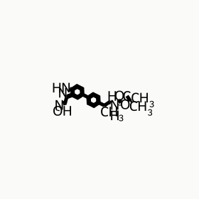 CC(CNC(=O)OC(C)(C)C)c1ccc(-c2ccc3[nH]nc(C=NO)c3c2)cc1